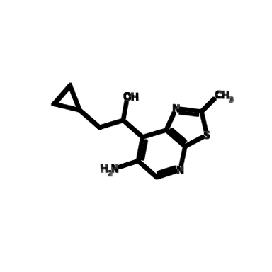 Cc1nc2c(C(O)CC3CC3)c(N)cnc2s1